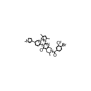 Cc1cc(C)n(-c2nc3c(c(=O)n2-c2ccc(-c4ccn(C)c4)cn2)CC(C)N(C(=O)c2ccc(Br)c(C(F)(F)F)c2)C3)n1